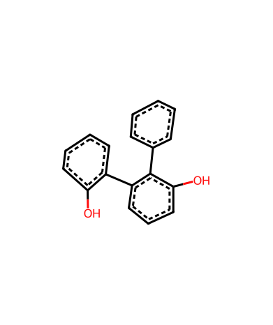 Oc1ccccc1-c1cccc(O)c1-c1ccccc1